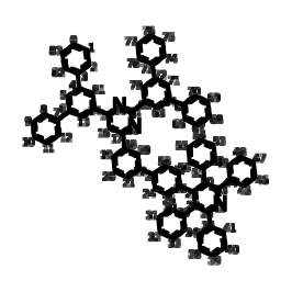 c1ccc(-c2cc(-c3ccccc3)cc(-c3cc(-c4cccc(-c5ccc(-c6c(-c7ccccc7)c(-c7ccccc7)nc(-c7ccccc7)c6-c6ccccc6)cc5)c4)nc(-c4cc(-c5ccccc5)cc(-c5ccccc5)c4)n3)c2)cc1